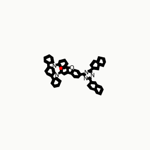 c1ccc(-n2c3ccccc3c3ccc4c5ccccc5n(-c5ccc6oc7cc(-c8nc(-c9ccc%10ccccc%10c9)nc(-c9ccc%10ccccc%10c9)n8)ccc7c6c5)c4c32)cc1